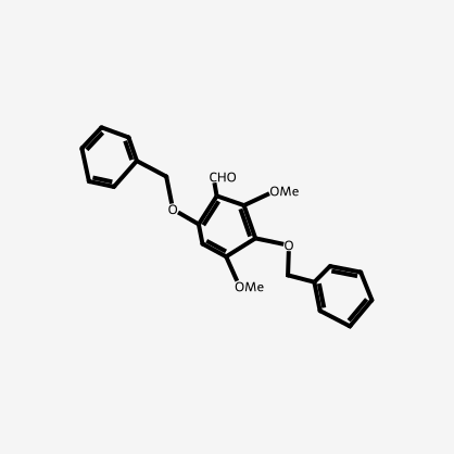 COc1cc(OCc2ccccc2)c(C=O)c(OC)c1OCc1ccccc1